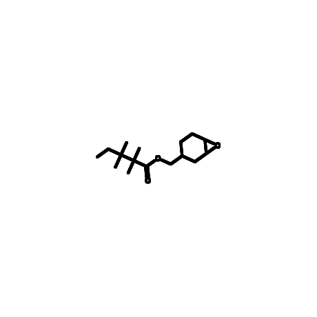 CCC(C)(C)C(C)(C)C(=O)OCC1CCC2OC2C1